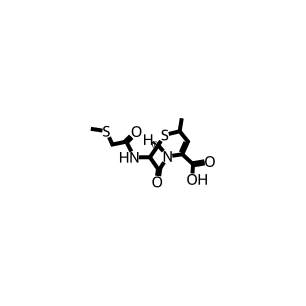 CSCC(=O)NC1C(=O)N2C(C(=O)O)=CC(C)S[C@H]12